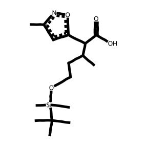 Cc1cc(C(C(=O)O)C(C)CCO[Si](C)(C)C(C)(C)C)on1